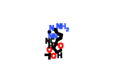 CC1(C)O[C@@H]2[C@@H](CO[C@@]2(C#N)c2ccc3c(N)ncnn23)O1